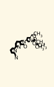 COC[C@@H]1C[C@@H](N2Cc3ccc(-c4cccc(C#N)n4)nc3C2=O)CN1C(=O)OC(C)(C)C